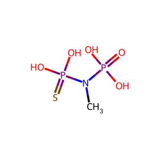 CN(P(=O)(O)O)P(O)(O)=S